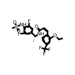 CCOc1cc(C(F)(F)F)ccc1/C=C\C(=O)N[C@H](C)c1cc(F)c(NS(C)(=O)=O)c(F)c1